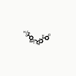 COC(=O)c1ccc(OCc2nnc3ccc(Nc4cccc(Cl)c4)nn23)c(N)c1